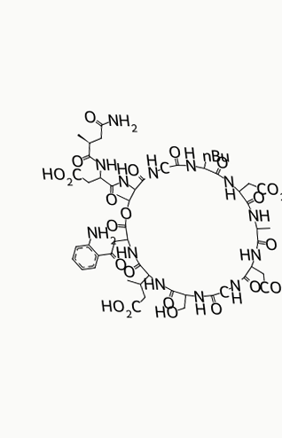 CCCCC1NC(=O)CNC(=O)C(NC(=O)C(CC(=O)O)NC(=O)[C@@H](C)CC(N)=O)C(C)OC(=O)C(CC(=O)c2ccccc2N)NC(=O)C(C(C)CC(=O)O)NC(=O)C(CO)NC(=O)CNC(=O)C(CC(=O)O)NC(=O)C(C)NC(=O)C(CC(=O)O)NC1=O